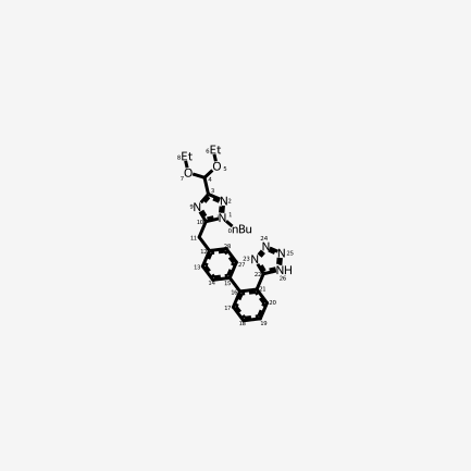 CCCCn1nc(C(OCC)OCC)nc1Cc1ccc(-c2ccccc2-c2nnn[nH]2)cc1